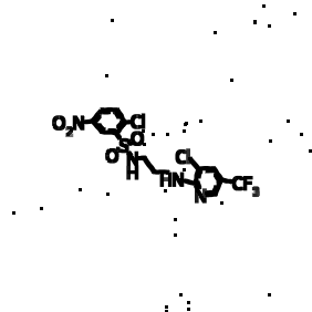 O=[N+]([O-])c1ccc(Cl)c(S(=O)(=O)NCCCNc2ncc(C(F)(F)F)cc2Cl)c1